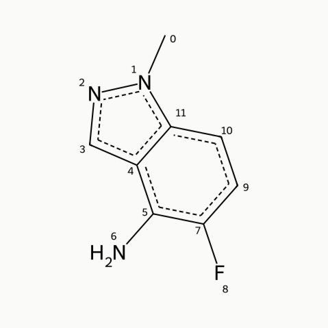 Cn1ncc2c(N)c(F)ccc21